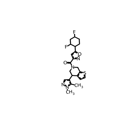 Cc1c(C2CN(C(=O)c3cc(C4CCC(F)CC4F)on3)Cc3sccc32)cnn1C